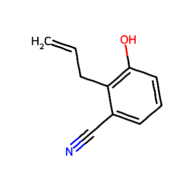 C=CCc1c(O)cccc1C#N